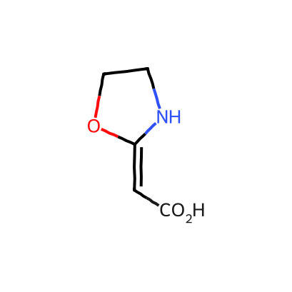 O=C(O)/C=C1\NCCO1